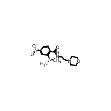 CN(C)c1cc([N+](=O)[O-])ccc1C(=O)NCCN1CCOCC1